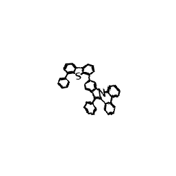 c1ccc(-c2cccc3c2sc2c(-c4ccc5c(-c6ccccc6)c6c7ccccc7c7ccccc7n6c5c4)cccc23)cc1